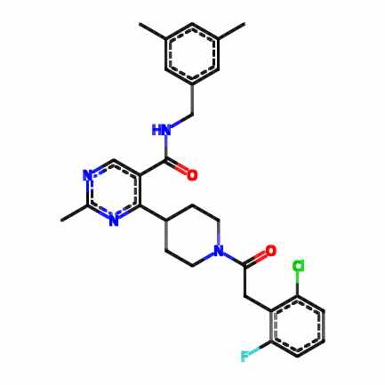 Cc1cc(C)cc(CNC(=O)c2cnc(C)nc2C2CCN(C(=O)Cc3c(F)cccc3Cl)CC2)c1